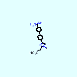 Cn1cc(-c2ccc(-c3ccc(C(=N)N)cc3)cc2)nc1CCC(=O)O